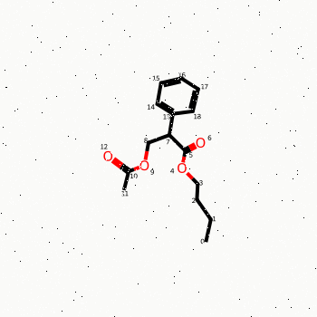 CCCCOC(=O)C(COC(C)=O)c1ccccc1